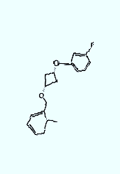 CC1CC=CC=C1CO[C@H]1C[C@@H](Oc2cccc(F)c2)C1